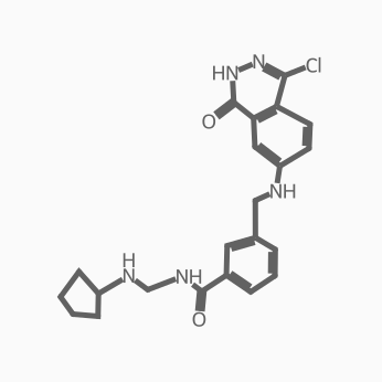 O=C(NCNC1CCCC1)c1cccc(CNc2ccc3c(Cl)n[nH]c(=O)c3c2)c1